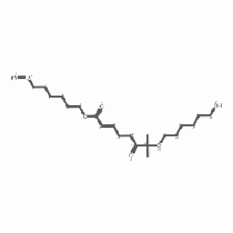 CC(C)OCCCCCCOC(=O)CCCCC(=O)C(C)(C)OCCCCCCO